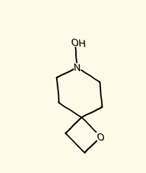 ON1CCC2(CCO2)CC1